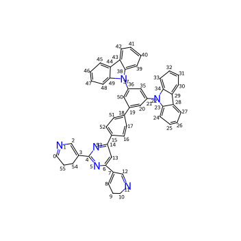 C1=NC=C(c2nc(C3=CCCN=C3)cc(-c3ccc(-c4cc(-n5c6ccccc6c6ccccc65)cc(-n5c6ccccc6c6ccccc65)c4)cc3)n2)CC1